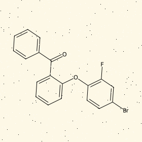 O=C(c1ccccc1)c1ccccc1Oc1ccc(Br)cc1F